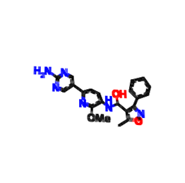 COc1nc(-c2cnc(N)nc2)ccc1NC(O)c1c(-c2ccccc2)noc1C